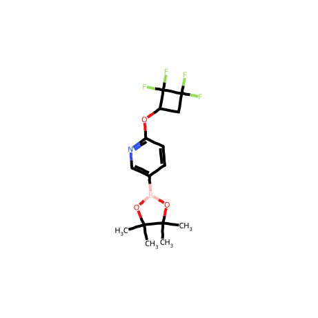 CC1(C)OB(c2ccc(OC3CC(F)(F)C3(F)F)nc2)OC1(C)C